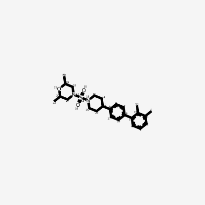 Cc1cccc(-c2ccc(C3CCN(S(=O)(=O)N4CC(C)OC(C)C4)CC3)cc2)c1C